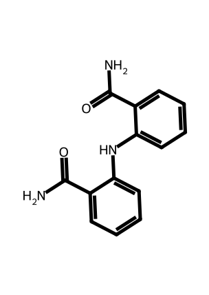 NC(=O)c1ccccc1Nc1ccccc1C(N)=O